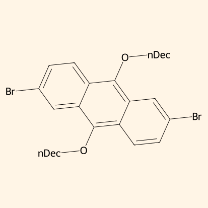 CCCCCCCCCCOc1c2ccc(Br)cc2c(OCCCCCCCCCC)c2ccc(Br)cc12